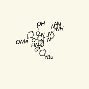 COc1ccccc1Oc1c(NS(=O)(=O)c2ccc(C(C)(C)C)cc2)nc(-c2nccc(-c3nnn[nH]3)n2)nc1OCCO